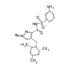 Cc1cc(C)c(Cc2cn(C(C)(C)C)nc2C(=O)NS(=O)(=O)c2cccc(N)c2)c(C)c1